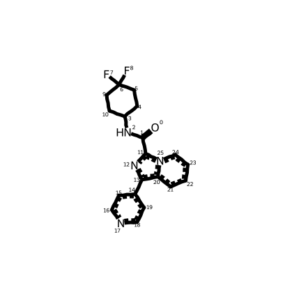 O=C(NC1CCC(F)(F)CC1)c1nc(-c2ccncc2)c2ccccn12